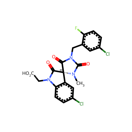 CN1C(=O)N(Cc2cc(Cl)ccc2F)C(=O)[C@@]12C(=O)N(CC(=O)O)c1ccc(Cl)cc12